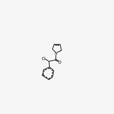 O=C(C(Cl)c1ccccc1)N1CC=CC1